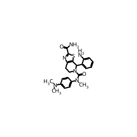 CN(C)c1ccc(N(C)C(=O)N2CCc3nc(C(N)=O)sc3C2c2ccccc2N)cc1